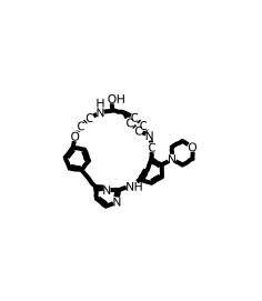 OC1NCCOc2ccc(cc2)-c2ccnc(n2)Nc2ccc(N3CCOCC3)c(c2)CN2CCC1CC2